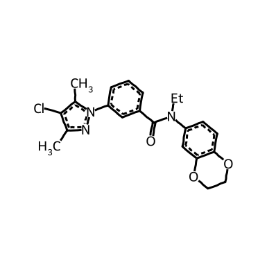 CCN(C(=O)c1cccc(-n2nc(C)c(Cl)c2C)c1)c1ccc2c(c1)OCCO2